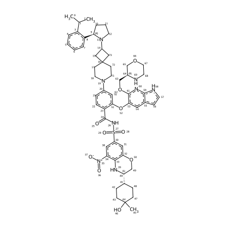 CC(C)c1ccccc1[C@H]1CCCN1C1CC2(CCN(c3ccc(C(=O)NS(=O)(=O)c4cc5c(c([N+](=O)[O-])c4)N[C@@H](C4CCC(C)(O)CC4)CO5)c(Oc4cc5cc[nH]c5nc4OC[C@H]4COCCN4)c3)CC2)C1